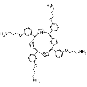 NCCCOc1cccc(C2=C3C=CC(=N3)C(c3cccc(OCCCN)c3)=C3C=CC(=N3)C(c3cccc(OCCCN)c3)=C3C=CC(=N3)C(c3cccc(OCCCN)c3)=C3C=CC2=N3)c1